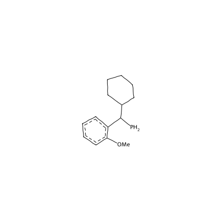 COc1ccccc1C(P)C1CCCCC1